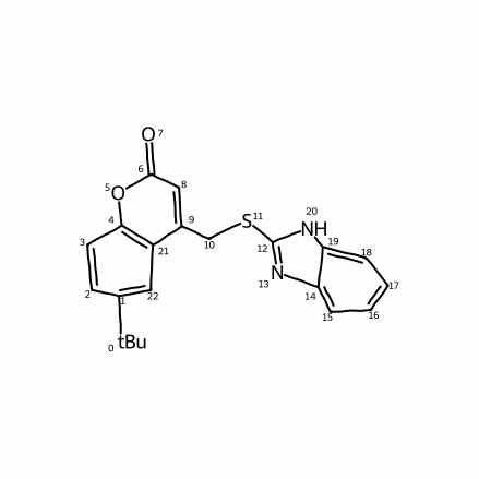 CC(C)(C)c1ccc2oc(=O)cc(CSc3nc4ccccc4[nH]3)c2c1